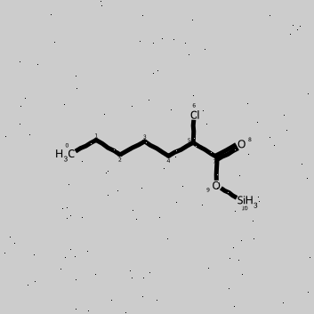 CCCCCC(Cl)C(=O)O[SiH3]